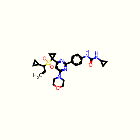 C=CC(C1CC1)S(=O)(=O)C1(c2cc(N3CCOCC3)nc(-c3ccc(NC(=O)NC4CC4)cc3)n2)CC1